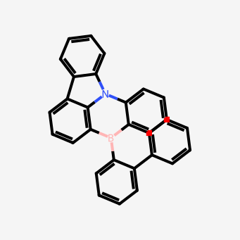 c1ccc(-c2ccccc2B2c3ccccc3-n3c4ccccc4c4cccc2c43)cc1